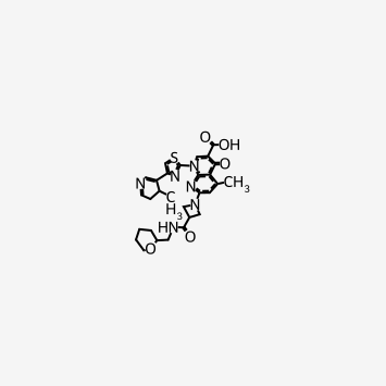 Cc1cc(N2CC(C(=O)NCC3CCCCO3)C2)nc2c1c(=O)c(C(=O)O)cn2-c1nc(C2=CN=CCC2C)cs1